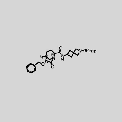 CCCCCN1CC2(CC(NC(=O)[C@@H]3CC[C@@H]4CN3C(=O)N4OCc3ccccc3)C2)C1